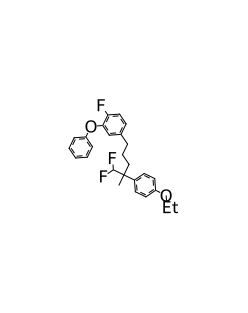 CCOc1ccc(C(C)(CCCc2ccc(F)c(Oc3ccccc3)c2)C(F)F)cc1